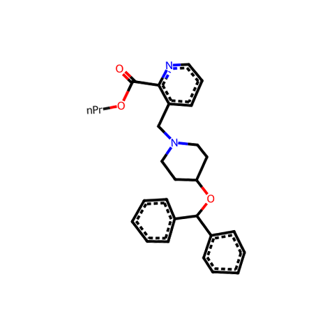 CCCOC(=O)c1ncccc1CN1CCC(OC(c2ccccc2)c2ccccc2)CC1